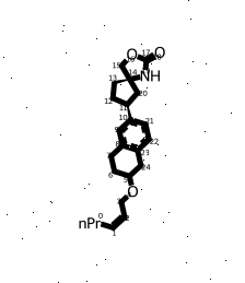 CCC/C=C\COC1CCc2cc([C@H]3CC[C@]4(COC(=O)N4)C3)ccc2C1